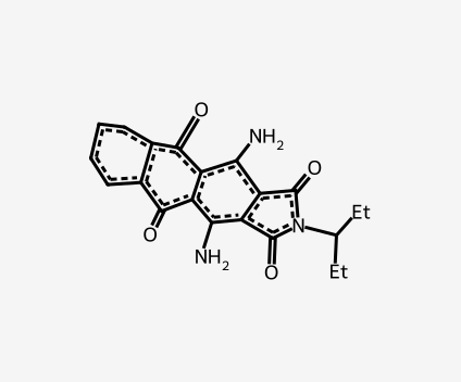 CCC(CC)n1c(=O)c2c(N)c3c(=O)c4ccccc4c(=O)c3c(N)c2c1=O